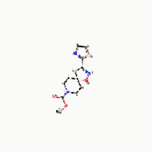 CC(C)(C)OC(=O)N1CCC2(CC1)CC(c1nccs1)=NO2